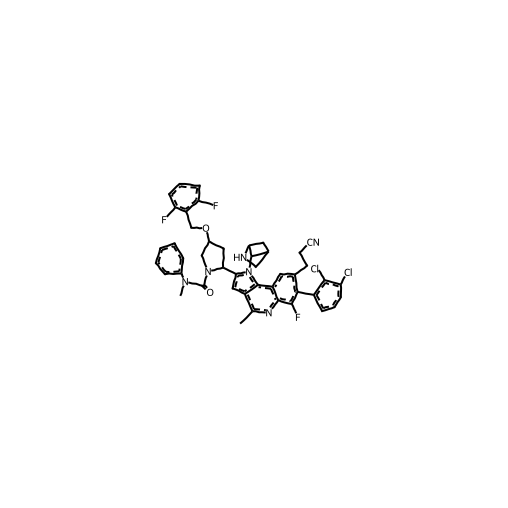 Cc1nc2c(F)c(-c3cccc(Cl)c3Cl)c(CCC#N)cc2c2c1cc(C1CC(OCc3c(F)cccc3F)CN1C(=O)N(C)c1ccccc1)n2C1C2CNC1C2